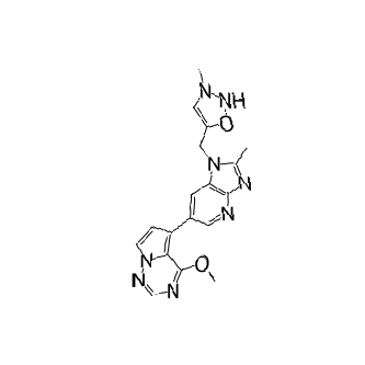 COc1ncnn2ccc(-c3cnc4nc(C)n(CC5=CN(C)NO5)c4c3)c12